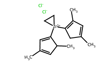 CC1=CC(C)[C]([Zr+2]2([C]3=C(C)C=C(C)C3)[CH2][CH2]2)=C1.[Cl-].[Cl-]